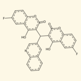 O=c1oc2ccc(F)cc2c(O)c1C(c1cnc2ccccc2c1)c1c(O)c2cc(F)ccc2oc1=O